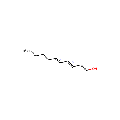 CCCCCCCC/C=C/C=C/CCO